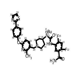 CCCCN(C(=O)Nc1cc(C(N)=O)c(F)cc1F)C1CCN(Cc2ccc(Oc3ccc(-c4nccs4)cc3)nc2C)CC1